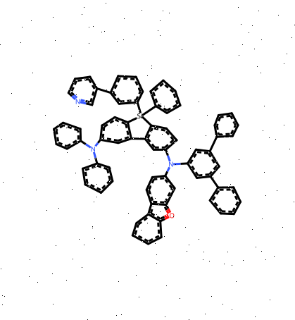 c1ccc(-c2cc(-c3ccccc3)cc(N(c3ccc4c(c3)-c3cc(N(c5ccccc5)c5ccccc5)ccc3[Si]4(c3ccccc3)c3cccc(-c4cccnc4)c3)c3ccc4c(c3)oc3ccccc34)c2)cc1